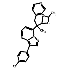 CC1OC(C(C)(Cc2ccncc2)c2ccnc3c(-c4ccc(Cl)cc4)cnn23)O1